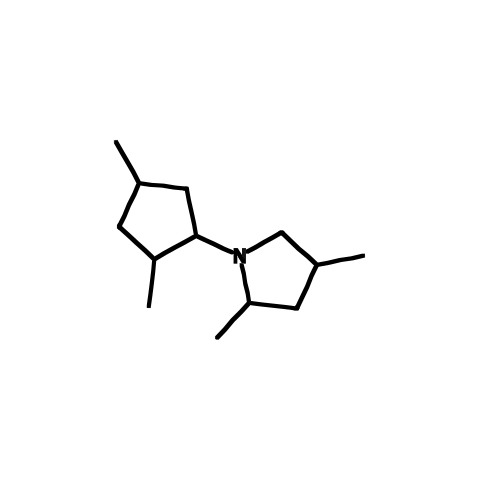 CC1CC(C)C(N2CC(C)CC2C)C1